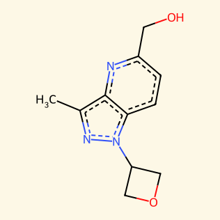 Cc1nn(C2COC2)c2ccc(CO)nc12